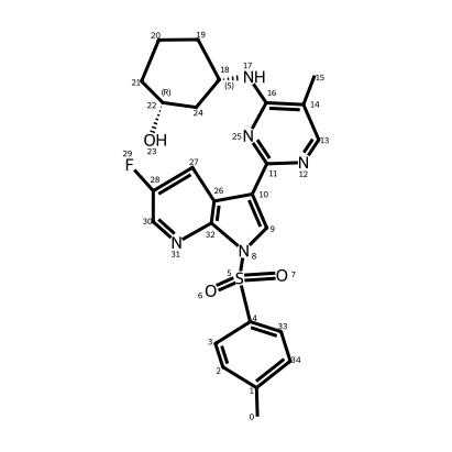 Cc1ccc(S(=O)(=O)n2cc(-c3ncc(C)c(N[C@H]4CCC[C@@H](O)C4)n3)c3cc(F)cnc32)cc1